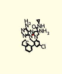 Nc1ncnc2c1ncn2Cc1c(-c2cccc3c2CCCC3)cc(Cl)cc1N1CC[C@](N)(C(=O)NC2CC2)C1